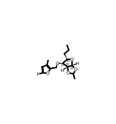 CCC[C@H]1O[C@@H]2OC(C)O[C@@H]2[C@H]1OCc1oc(F)cc1C